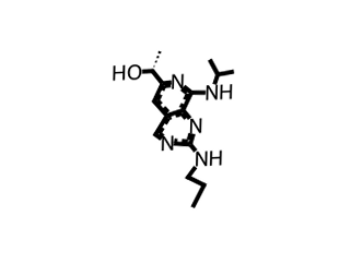 CCCNc1ncc2cc([C@@H](C)O)nc(NC(C)C)c2n1